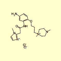 CN1CC[N+](C)(CCCOc2ccc(N)cc2NC(=O)CC2=[N+]C=CN2C)CC1.[Cl-].[Cl-]